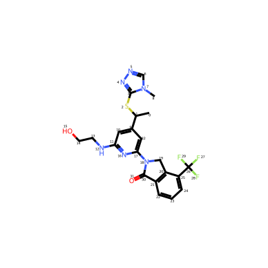 CC(Sc1nncn1C)c1cc(NCCO)nc(N2Cc3c(cccc3C(F)(F)F)C2=O)c1